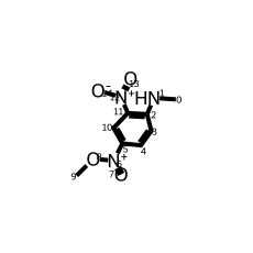 CNc1ccc([N+](=O)OC)cc1[N+](=O)[O-]